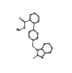 Cc1nc2ccccc2n1Cc1ccc(-c2ccccc2C(=O)OC(C)(C)C)cc1